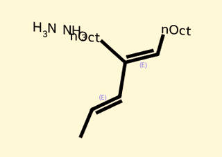 C/C=C/C(=C/CCCCCCCC)CCCCCCCC.N.N